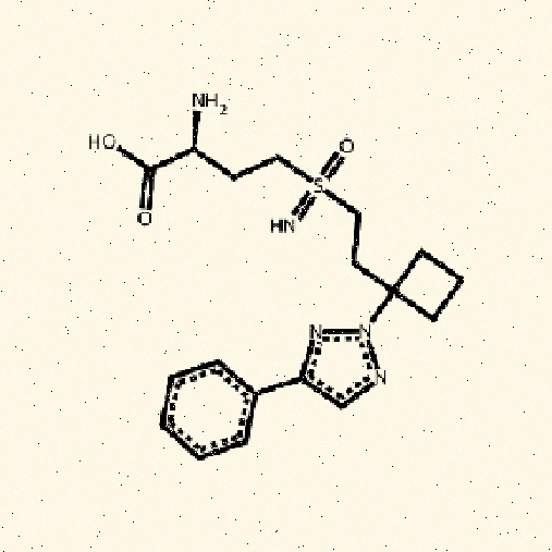 N=S(=O)(CC[C@H](N)C(=O)O)CCC1(n2ncc(-c3ccccc3)n2)CCC1